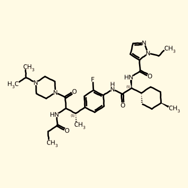 CCC(=O)NC(C(=O)N1CCN(C(C)C)CC1)[C@@H](C)c1ccc(NC(=O)[C@@H](NC(=O)c2ccnn2CC)[C@H]2CC[C@H](C)CC2)c(F)c1